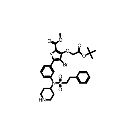 COC(=O)c1sc(-c2cccc(N(C3CCNCC3)S(=O)(=O)CCc3ccccc3)c2)c(Br)c1OCC(=O)OC(C)(C)C